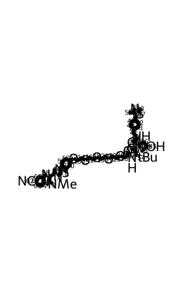 CNc1c(-c2cn3c(n2)sc2cc(OCCOCCOCCOCCOCC(=O)NC(C(=O)N4C[C@H](O)C[C@H]4C(=O)NCc4ccc(-c5scnc5C)cc4)C(C)(C)C)ccc23)nc2cc(C#N)ccn12